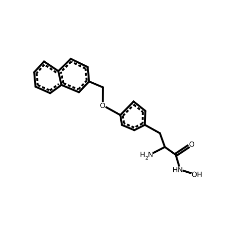 NC(Cc1ccc(OCc2ccc3ccccc3c2)cc1)C(=O)NO